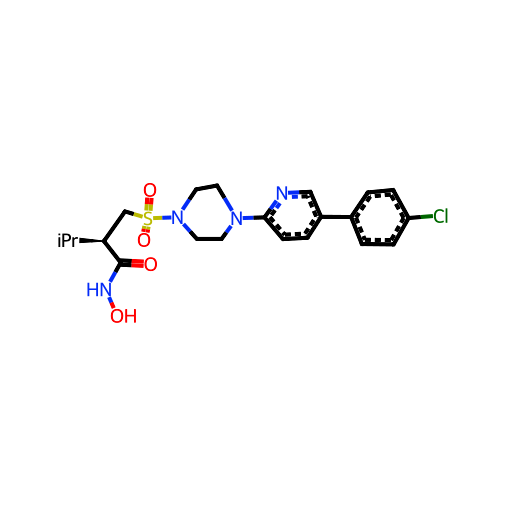 CC(C)[C@@H](CS(=O)(=O)N1CCN(c2ccc(-c3ccc(Cl)cc3)cn2)CC1)C(=O)NO